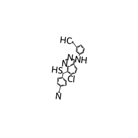 C#Cc1cccc(Nc2ncnc3c(C(S)c4ccc(C#N)cc4)c(Cl)ccc23)c1